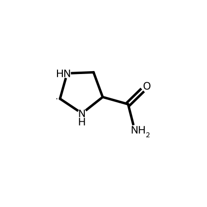 NC(=O)C1CN[CH]N1